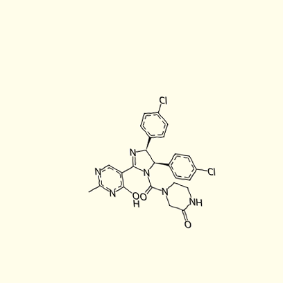 Cc1ncc(C2=N[C@@H](c3ccc(Cl)cc3)[C@@H](c3ccc(Cl)cc3)N2C(=O)N2CCNC(=O)C2)c(O)n1